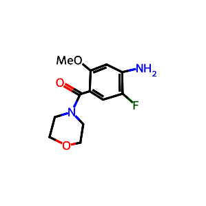 COc1cc(N)c(F)cc1C(=O)N1CCOCC1